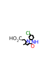 Cc1cc2c(=O)[nH]c3ccc(Cl)cc3n2c1CCC(=O)O